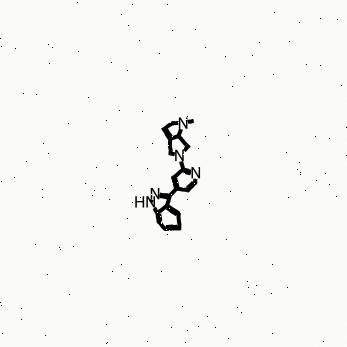 CN1CC=C2CN(c3cc(-c4n[nH]c5ccccc45)ccn3)CC21